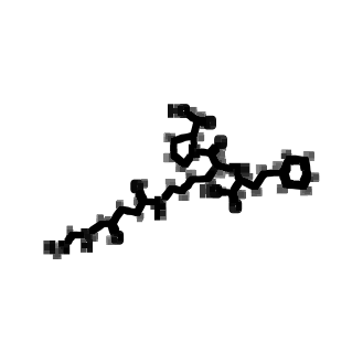 NCNCC(=O)CCC(=O)NCCCC[C@H](NC(CCc1ccccc1)C(=O)O)C(=O)N1CCCC1C(=O)O